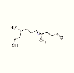 C/C(=C\CCC(C)CCO)CCC=O